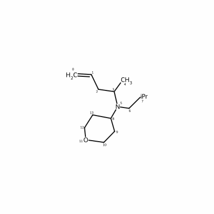 C=CCC(C)N(CC(C)C)C1CCOCC1